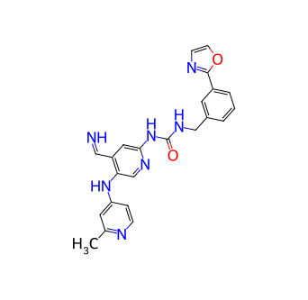 Cc1cc(Nc2cnc(NC(=O)NCc3cccc(-c4ncco4)c3)cc2C=N)ccn1